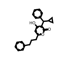 O=c1oc(CCCc2ccccc2)cc(O)c1C(c1ccccc1)C1CC1